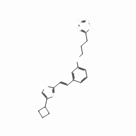 C(=Cc1nc(C2CCC2)cs1)c1cccc(OCCCc2nnn[nH]2)c1